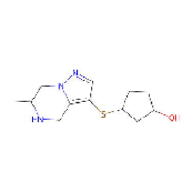 CC1Cn2ncc(SC3CCC(O)C3)c2CN1